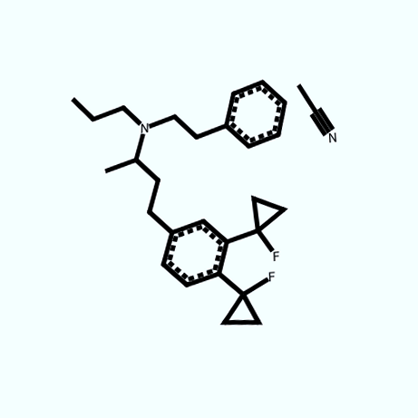 CC#N.CCCN(CCc1ccccc1)C(C)CCc1ccc(C2(F)CC2)c(C2(F)CC2)c1